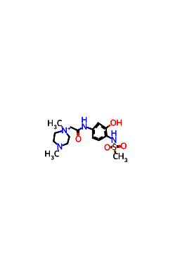 CN1CC[N+](C)(CC(=O)Nc2ccc(NS(C)(=O)=O)c(O)c2)CC1